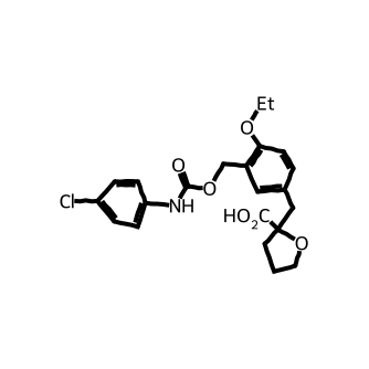 CCOc1ccc(CC2(C(=O)O)CCCO2)cc1COC(=O)Nc1ccc(Cl)cc1